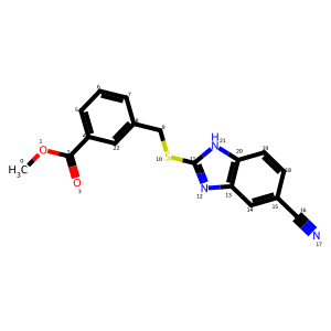 COC(=O)c1cccc(CSc2nc3cc(C#N)ccc3[nH]2)c1